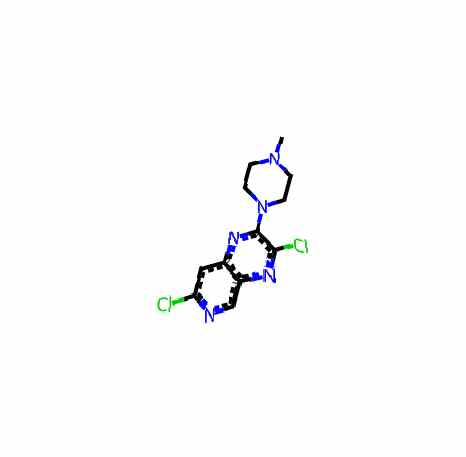 CN1CCN(c2nc3cc(Cl)ncc3nc2Cl)CC1